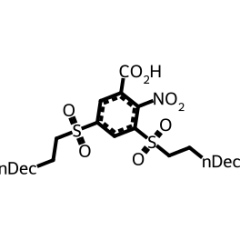 CCCCCCCCCCCCS(=O)(=O)c1cc(C(=O)O)c([N+](=O)[O-])c(S(=O)(=O)CCCCCCCCCCCC)c1